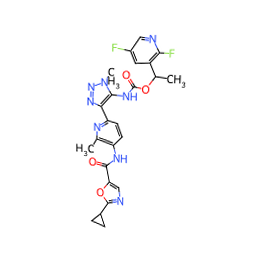 Cc1nc(-c2nnn(C)c2NC(=O)OC(C)c2cc(F)cnc2F)ccc1NC(=O)c1cnc(C2CC2)o1